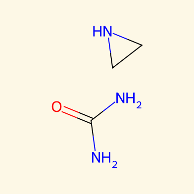 C1CN1.NC(N)=O